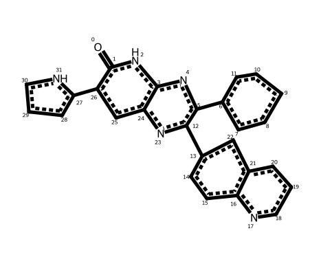 O=c1[nH]c2nc(-c3ccccc3)c(-c3ccc4ncccc4c3)nc2cc1-c1ccc[nH]1